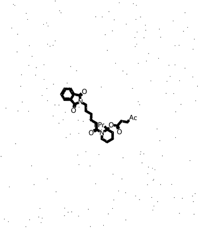 CCCC1(OC(=O)CCC(C)=O)CCCCN1C(=O)CCCCCN1C(=O)c2ccccc2C1=O